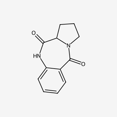 O=C1Nc2ccccc2C(=O)N2CCCC12